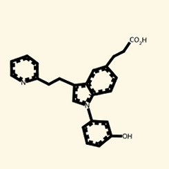 O=C(O)CCc1ccc2c(c1)c(CCc1ccccn1)cn2-c1cccc(O)c1